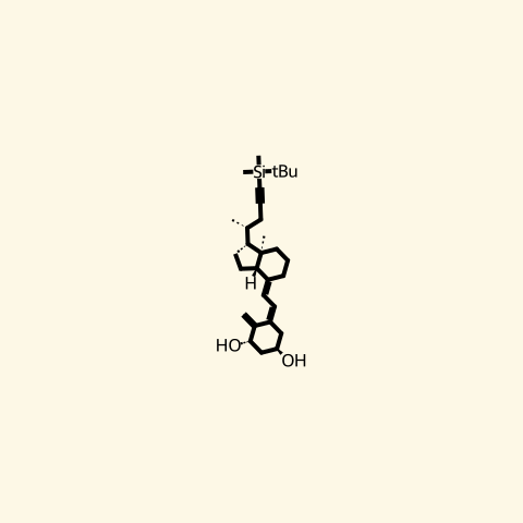 C=C1/C(=C\C=C2/CCC[C@]3(C)[C@@H]([C@H](C)CC#C[Si](C)(C)C(C)(C)C)CC[C@@H]23)C[C@@H](O)C[C@@H]1O